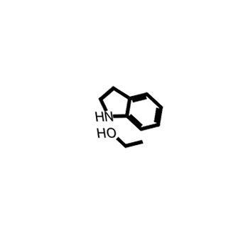 CCO.c1ccc2c(c1)CCN2